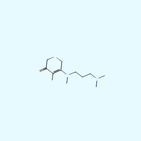 CN(C)CCCN(C)C1=C(C(C)(C)C)C(=S)CSC1